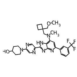 COCC1(CN(C)c2cc(-c3cccc(C(F)(F)F)c3)nc3nc(-c4cnc(N5CCC(O)CC5)cn4)[nH]c23)CCC1